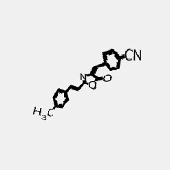 Cc1ccc(C=CC2=NC(=Cc3ccc(C#N)cc3)C(=O)O2)cc1